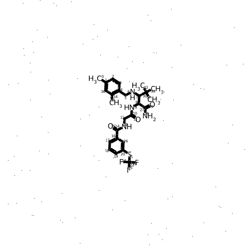 Cc1ccc(CNC(C(NC(=O)CNC(=O)c2cccc(SC(F)(F)F)c2)C(N)=O)C(C)(C)C)c(C)c1